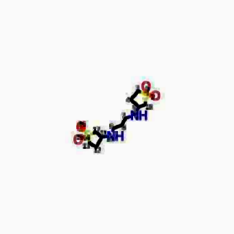 O=S1(=O)CCC(NCCCNC2CCS(=O)(=O)C2)C1